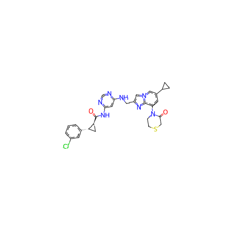 O=C(Nc1cc(NCc2cn3cc(C4CC4)cc(N4CCSCC4=O)c3n2)ncn1)[C@H]1C[C@@H]1c1cccc(Cl)c1